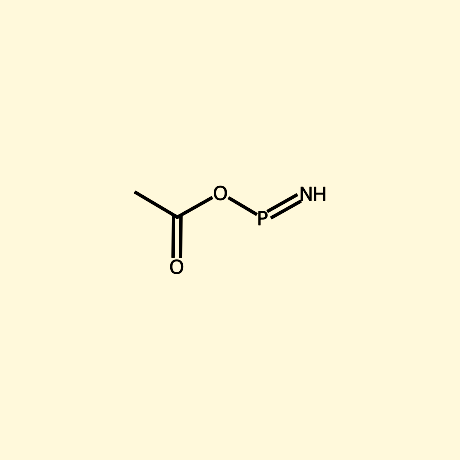 CC(=O)OP=N